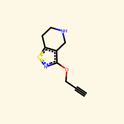 C#CCOc1nsc2c1CNCC2